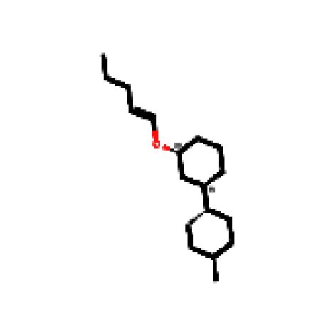 CCCC=CO[C@@H]1CCC[C@@H]([C@H]2CC[C@H](C)CC2)C1